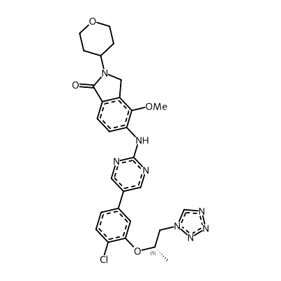 COc1c(Nc2ncc(-c3ccc(Cl)c(O[C@@H](C)Cn4cnnn4)c3)cn2)ccc2c1CN(C1CCOCC1)C2=O